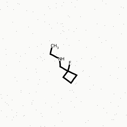 CCNCC1(F)CCC1